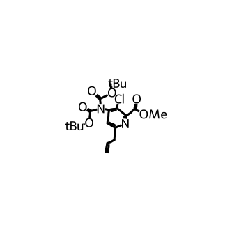 C=CCc1cc(N(C(=O)OC(C)(C)C)C(=O)OC(C)(C)C)c(Cl)c(C(=O)OC)n1